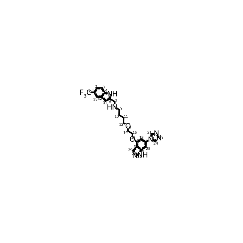 FC(F)(F)c1ccc2[nH]c(CNCCCCOCCOc3cc(-n4cnnc4)cc4[nH]ncc34)cc2c1